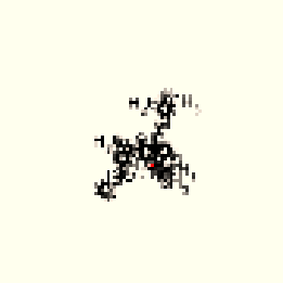 Cc1cc(OCCCc2c3n(c4c(-c5c(C)nn(C)c5C)c(Cl)ccc24)[C@H](C)CN(c2cn(C)c4ccc(C(=O)NCc5ccccn5)cc24)C3=O)cc(C)c1Cl